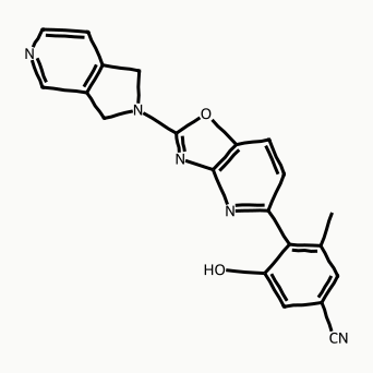 Cc1cc(C#N)cc(O)c1-c1ccc2oc(N3Cc4ccncc4C3)nc2n1